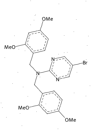 COc1ccc(CN(Cc2ccc(OC)cc2OC)c2ncc(Br)cn2)c(OC)c1